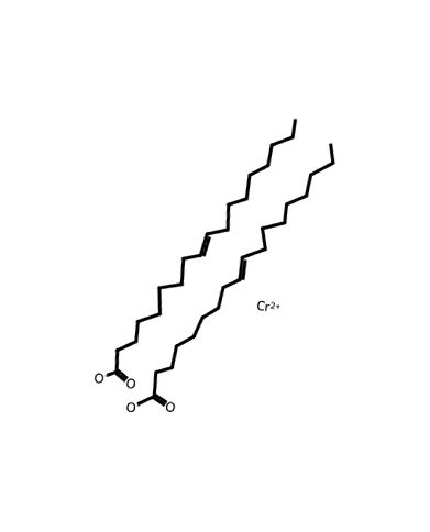 CCCCCCCCC=CCCCCCCCC(=O)[O-].CCCCCCCCC=CCCCCCCCC(=O)[O-].[Cr+2]